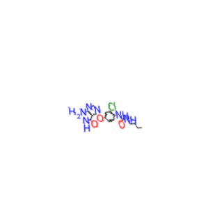 CCCCNC(=O)Nc1ccc(Oc2ncnc(N)c2C(=N)OC)cc1Cl